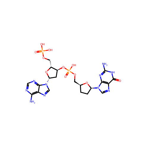 Nc1nc2c(ncn2[C@H]2CC[C@@H](COP(=O)(O)O[C@H]3C[C@H](n4cnc5c(N)ncnc54)O[C@@H]3COP(=O)(O)O)O2)c(=O)[nH]1